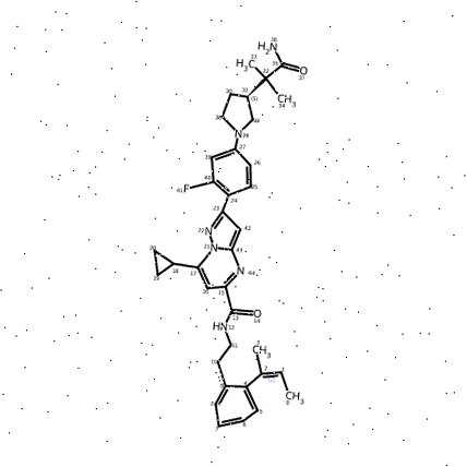 C/C=C(/C)c1ccccc1CCNC(=O)c1cc(C2CC2)n2nc(-c3ccc(N4CC[C@@H](C(C)(C)C(N)=O)C4)cc3F)cc2n1